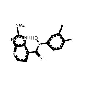 CNc1nc2nccc(C(=N)N(O)c3ccc(F)c(Br)c3)c2[nH]1